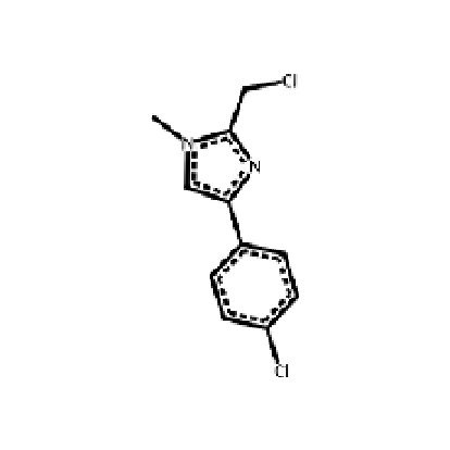 Cn1cc(-c2ccc(Cl)cc2)nc1CCl